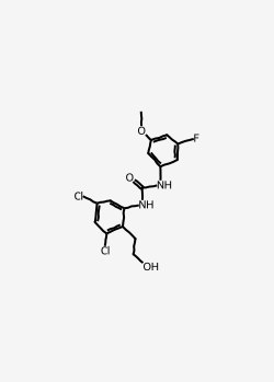 COc1cc(F)cc(NC(=O)Nc2cc(Cl)cc(Cl)c2CCO)c1